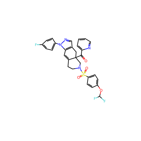 O=C(c1ccccn1)C12Cc3cnn(-c4ccc(F)cc4)c3C=C1CCN(S(=O)(=O)c1ccc(OC(F)F)cc1)C2